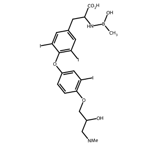 CNCC(O)COc1ccc(Oc2c(I)cc(CC(NB(C)O)C(=O)O)cc2I)cc1I